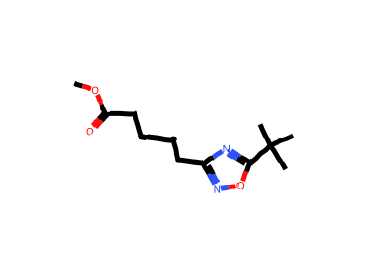 COC(=O)CCCCc1noc(C(C)(C)C)n1